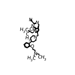 CCN(CC)CCOc1ccccc1C1CCN(Cc2cc3cnc(C#N)nc3n2CC(C)(C)C)CC1